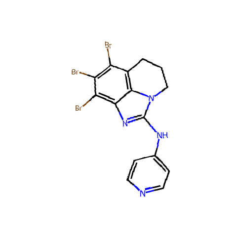 Brc1c(Br)c2c3c(nc(Nc4ccncc4)n3CCC2)c1Br